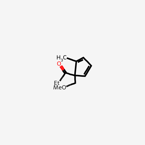 CCC(=O)C1(COC)C=CC=C1C